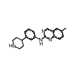 Cc1ccc2nc(Nc3cccc(C4CCNCC4)c3)ncc2c1